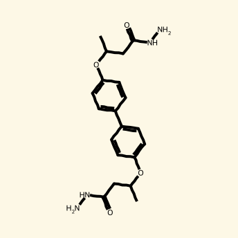 CC(CC(=O)NN)Oc1ccc(-c2ccc(OC(C)CC(=O)NN)cc2)cc1